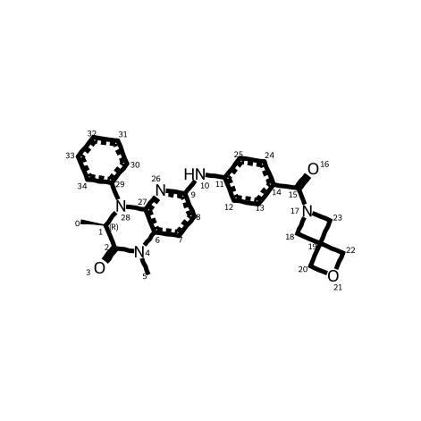 C[C@@H]1C(=O)N(C)c2ccc(Nc3ccc(C(=O)N4CC5(COC5)C4)cc3)nc2N1c1ccccc1